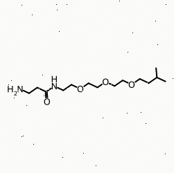 CC(C)CCOCCOCCOCCNC(=O)CCN